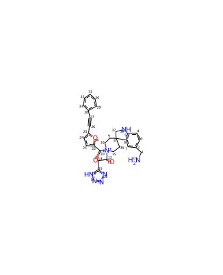 NCc1ccc2c(c1)C1(CC[N+](C(=O)Cc3nnn[nH]3)(C(=O)c3ccc(C#Cc4ccccc4)o3)CC1)CN2